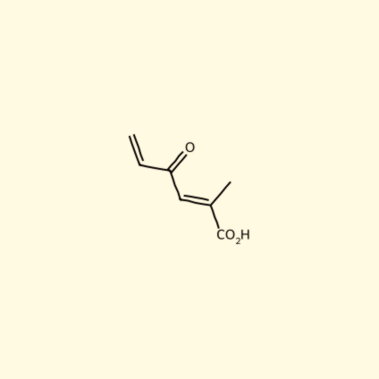 C=CC(=O)C=C(C)C(=O)O